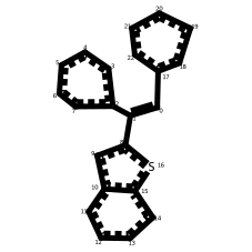 C(=C(c1ccccc1)c1cc2ccccc2s1)c1ccccc1